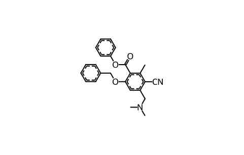 Cc1c(C#N)c(CN(C)C)cc(OCc2ccccc2)c1C(=O)Oc1ccccc1